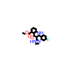 CCOC(=O)c1cccc2c1C(=O)C(c1ncc[nH]1)C(c1ccc(F)cc1)N2